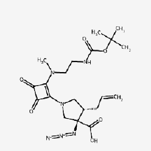 C=CC[C@H]1CN(c2c(N(C)CCNC(=O)OC(C)(C)C)c(=O)c2=O)C[C@@]1(N=[N+]=[N-])C(=O)O